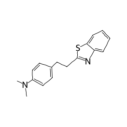 CN(C)c1ccc(CCc2nc3ccccc3s2)cc1